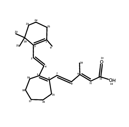 CC1=C(/C=C/C2=C(/C=C/C(C)=C/C(=O)O)CCCCC2)C(C)(C)CCC1